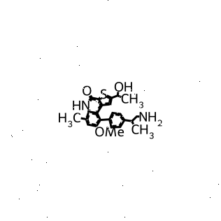 COc1cc(C)c2[nH]c(=O)c3sc(C(C)O)cc3c2c1-c1ccc(C(C)CN)cc1